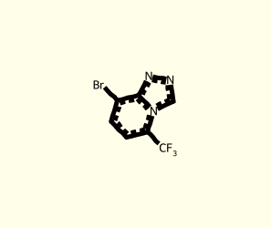 FC(F)(F)c1ccc(Br)c2nncn12